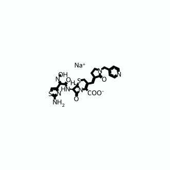 Nc1nc(/C(=N/O)C(=O)N[C@@H]2C(=O)N3C(C(=O)[O-])=C(/C=C4\CCN(Cc5ccncc5)C4=O)CS[C@H]23)cs1.[Na+]